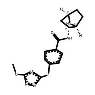 COc1nnc(Sc2ccc(C(=O)N[C@@H]3C[C@H]4CC[C@@H]3N4)cc2)o1